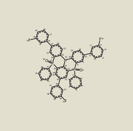 O=P1(c2ccccc2)c2cc(-c3cccc(F)c3)ccc2N2c3ccc(-c4cccc(F)c4)cc3P(=O)(c3ccccc3)c3cc(-c4cccc(F)c4)cc1c32